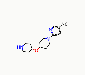 [C-]#[N+]c1ccc(N2CCC(OC3CCNCC3)CC2)nc1